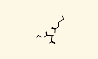 CCCCC(=O)NC(C(=O)O)C(=O)OCC